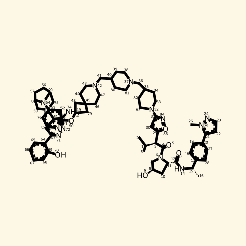 CC(C)[C@H](C(=O)N1C[C@H](O)C[C@H]1C(=O)N[C@@H](C)c1ccc(-c2ccnn2C)cc1)c1cc(N2CCC(CN3CCC(CN4CCC5(CC4)CC(Oc4cc(N6C7CCC6CN(c6cc(-c8ccccc8O)nnc6N)C7)ccn4)C5)CC3)CC2)no1